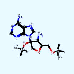 CC(C)(C)[Si](C)(C)OC[C@H]1OCC(O[Si](C)(C)C(C)(C)C)(n2cnc3c(N)ncnc32)C1N